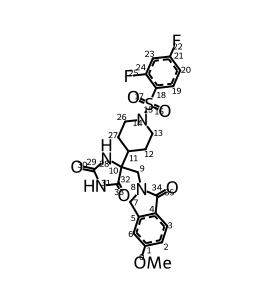 COc1ccc2c(c1)CN(CC1(C3CCN(S(=O)(=O)c4ccc(F)cc4F)CC3)NC(=O)NC1=O)C2=O